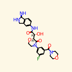 N=C1NCc2cc(NC(=O)[C@H](O)[C@H]3OCCN(c4cc(F)cc(C(=O)N5CCOCC5)c4)C3=O)ccc21